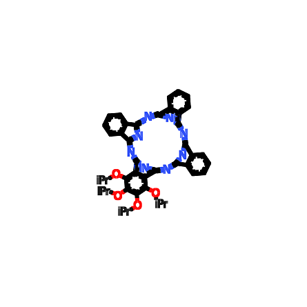 CC(C)Oc1c(OC(C)C)c(OC(C)C)c2c3nc4nc(nc5[nH]c(nc6nc(nc([nH]3)c2c1OC(C)C)-c1ccccc1-6)c1ccccc51)-c1ccccc1-4